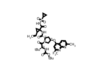 C=CC1CC1(NC(=O)[C@@H]1C[C@@H](Oc2cc(C(F)(F)F)nc3nc(C)ccc23)CN1C(=O)[C@@H](NC(=O)OC(C)(C)C)C(C)(C)C)C(=O)NS(=O)(=O)C1CC1